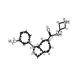 Cc1cccc(-n2ncc3ccc(C(=O)NC4CNC4)cc32)c1